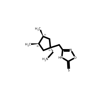 C[C@@H]1C[C@](CN)(Cc2noc(=S)[nH]2)C[C@@H]1C